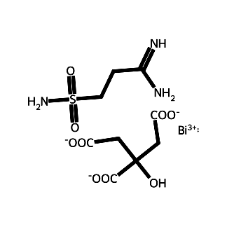 N=C(N)CCS(N)(=O)=O.O=C([O-])CC(O)(CC(=O)[O-])C(=O)[O-].[Bi+3]